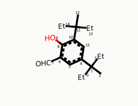 CCC(C)(CC)c1cc(C=O)c(O)c(C(C)(CC)CC)c1